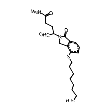 CNC(=O)CCC(C=O)N1Cc2c(SCCCCCCCN)cccc2C1=O